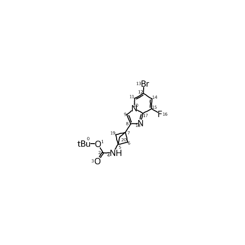 CC(C)(C)OC(=O)NC12CC(c3cn4cc(Br)cc(F)c4n3)(C1)C2